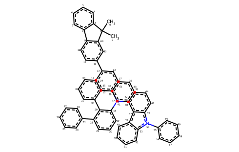 CC1(C)c2ccccc2-c2ccc(-c3ccc(N(c4cccc(-c5ccccc5)c4-c4ccccc4-c4ccccc4)c4cccc5c4c4ccccc4n5-c4ccccc4)cc3)cc21